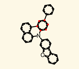 c1ccc(-c2ccc(N(c3ccc4c(c3)oc3ccccc34)c3cccc4cccc(-c5ccccc5)c34)cc2)cc1